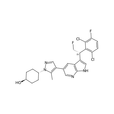 Cc1c(-c2cnc3[nH]cc([C@H](CF)c4c(Cl)ccc(F)c4Cl)c3c2)cnn1[C@H]1CC[C@H](O)CC1